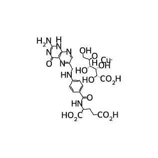 Nc1nc(=O)c2nc(CNc3ccc(C(=O)N[C@@H](CCC(=O)O)C(=O)O)cc3)cnc2[nH]1.O=C(O)[C@H](O)[C@@H](O)[C@H](O)[C@H](O)CO.[Cu]